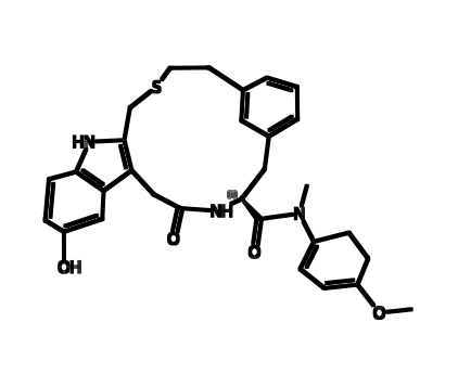 COC1=CC=C(N(C)C(=O)[C@@H]2Cc3cccc(c3)CCSCc3[nH]c4ccc(O)cc4c3CC(=O)N2)CC1